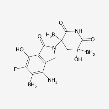 Bc1c(N)c2c(c(O)c1F)C(=O)N(C1(B)CC(B)(O)C(=O)NC1=O)C2